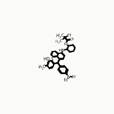 CCN(CC)c1ccc(C(c2ccc(C)cc2)c2ccc(NC3CCCCC3OC(=O)C(C)(C)CC)c3cccc(S(=O)(=O)O)c23)cc1